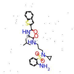 CC(C)C[C@H](NC(=O)c1cc2ccccc2s1)C(=O)NCCCN(C1CC1)S(=O)(=O)c1ccccc1N